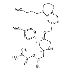 CC[C@@H](C[C@H]1C[C@H](c2ccc(OC)cc2)[C@@H](OCc2ccc3c(c2)N(CCCOC)CCO3)CN1)OC(=O)N(C)C